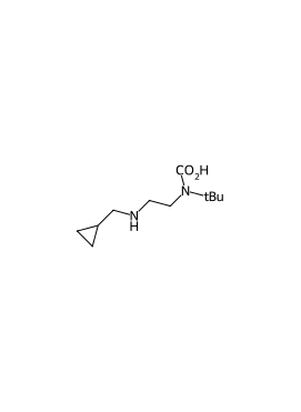 CC(C)(C)N(CCNCC1CC1)C(=O)O